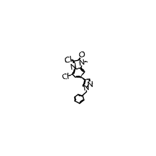 Cn1c(=O)c(Cl)nc2c(Cl)cc(-c3cnn(Cc4ccccc4)c3)cc21